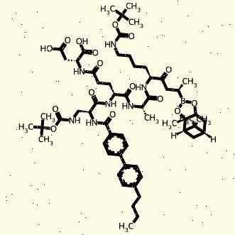 CCCCc1ccc(-c2ccc(C(=O)N[C@@H](CNC(=O)OC(C)(C)C)C(=O)N[C@@H](CCC(=O)N[C@H](CC(=O)O)C(=O)O)C(=O)N[C@@H](C)C(=O)N[C@@H](CCCCNC(=O)OC(C)(C)C)C(=O)C[C@@H](C)B3OC4C[C@@H]5C[C@@H](C5(C)C)[C@]4(C)O3)cc2)cc1